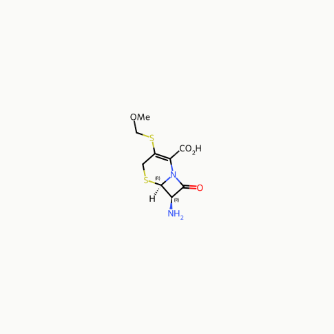 COCSC1=C(C(=O)O)N2C(=O)[C@@H](N)[C@H]2SC1